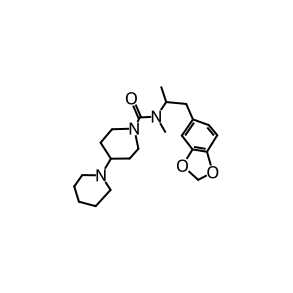 CC(Cc1ccc2c(c1)OCO2)N(C)C(=O)N1CCC(N2CCCCC2)CC1